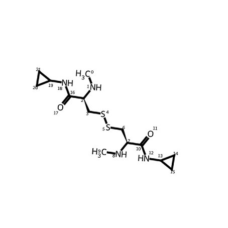 CN[C@@H](CSSC[C@H](NC)C(=O)NC1CC1)C(=O)NC1CC1